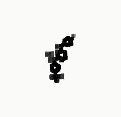 Cl.O=S(=O)(Cl)c1ccc(Nc2nccc(Nc3ccc(F)cc3)n2)cc1